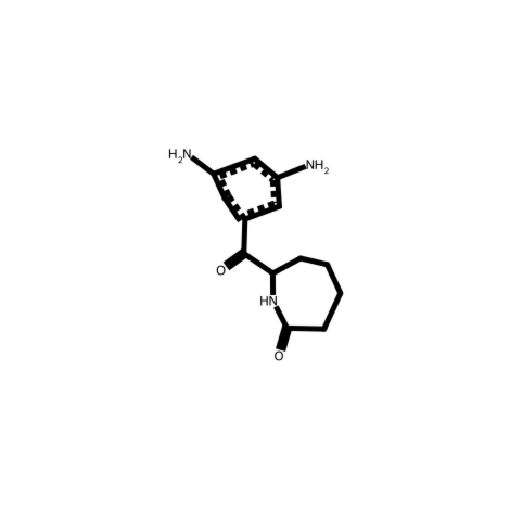 Nc1cc(N)cc(C(=O)C2CCCCC(=O)N2)c1